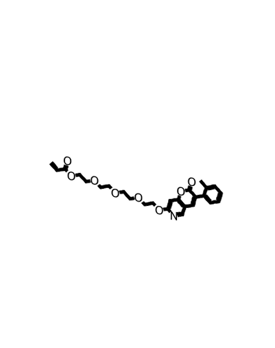 C=CC(=O)OCCOCCOCCOCCOc1cc2oc(=O)c(-c3ccccc3C)cc2cn1